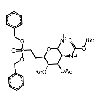 CC(=O)O[C@H]1[C@H](OC(C)=O)[C@@H](CCP(=O)(OCc2ccccc2)OCc2ccccc2)OC(N)[C@H]1NC(=O)OC(C)(C)C